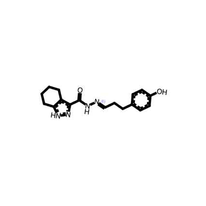 O=C(N/N=C/CCc1ccc(O)cc1)c1n[nH]c2c1CCCC2